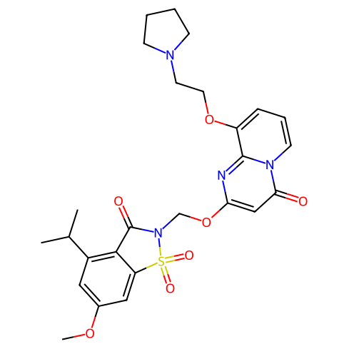 COc1cc(C(C)C)c2c(c1)S(=O)(=O)N(COc1cc(=O)n3cccc(OCCN4CCCC4)c3n1)C2=O